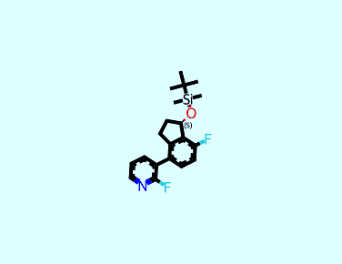 CC(C)(C)[Si](C)(C)O[C@H]1CCc2c(-c3cccnc3F)ccc(F)c21